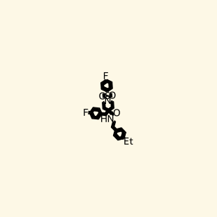 CCc1ccc(CCNC(=O)C2(Cc3ccc(F)cc3)CCN(S(=O)(=O)c3ccc(F)cc3)CC2)cc1